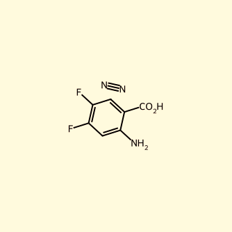 N#N.Nc1cc(F)c(F)cc1C(=O)O